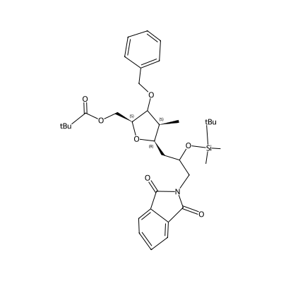 C[C@@H]1C(OCc2ccccc2)[C@H](COC(=O)C(C)(C)C)O[C@@H]1CC(CN1C(=O)c2ccccc2C1=O)O[Si](C)(C)C(C)(C)C